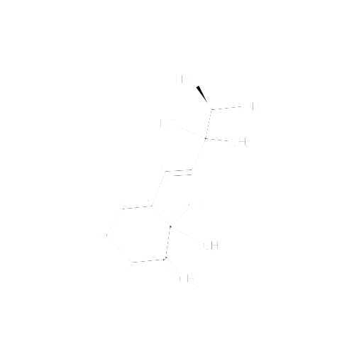 C=C1CCCC(/C=C/C(C)(C)[C@@H](C)O)C1(C)C